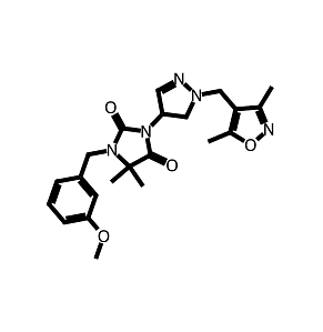 COc1cccc(CN2C(=O)N(C3C=NN(Cc4c(C)noc4C)C3)C(=O)C2(C)C)c1